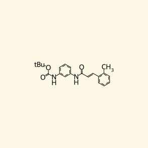 Cc1ccccc1C=CC(=O)Nc1cccc(NC(=O)OC(C)(C)C)c1